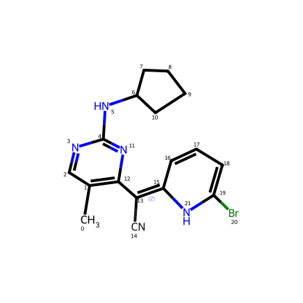 Cc1cnc(NC2CCCC2)nc1/C(C#N)=C1\C=CC=C(Br)N1